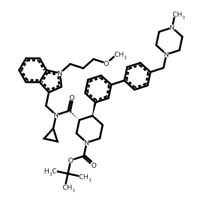 COCCCn1cc(CN(C(=O)[C@H]2CN(C(=O)OC(C)(C)C)CC[C@@H]2c2cccc(-c3ccc(CN4CCN(C)CC4)cc3)c2)C2CC2)c2ccccc21